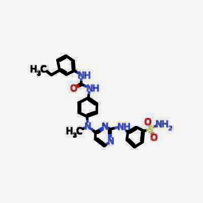 CCc1cccc(NC(=O)Nc2ccc(N(C)c3ccnc(Nc4cccc(S(N)(=O)=O)c4)n3)cc2)c1